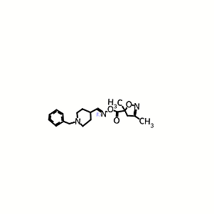 CC1=NOC(C)(C(=O)O/N=C/C2CCN(Cc3ccccc3)CC2)C1